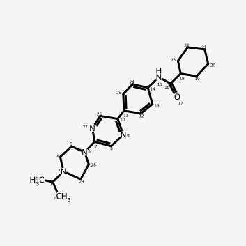 CC(C)N1CCN(c2cnc(-c3ccc(NC(=O)C4CCCCC4)cc3)cn2)CC1